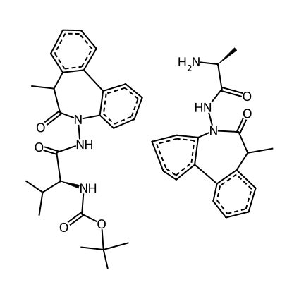 CC1C(=O)N(NC(=O)[C@@H](NC(=O)OC(C)(C)C)C(C)C)c2ccccc2-c2ccccc21.CC1C(=O)N(NC(=O)[C@H](C)N)c2ccccc2-c2ccccc21